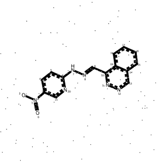 O=[N+]([O-])c1ccc(NN=Cc2nncc3ccccc23)nc1